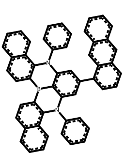 c1ccc(N2c3cc(-c4cccc5cc6ccccc6cc45)cc4c3B(c3ccc5ccccc5c32)c2ccc3ccccc3c2N4c2ccccc2)cc1